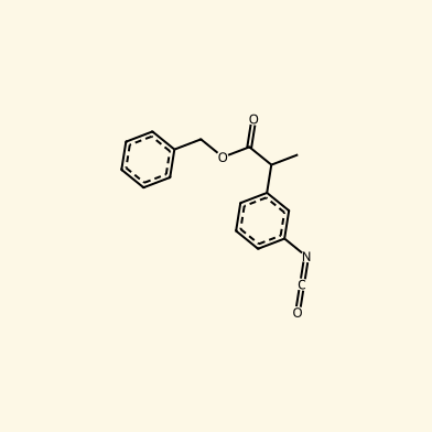 CC(C(=O)OCc1ccccc1)c1cccc(N=C=O)c1